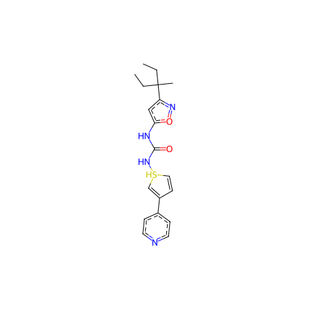 CCC(C)(CC)c1cc(NC(=O)N[SH]2C=CC(c3ccncc3)=C2)on1